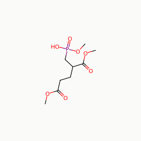 COC(=O)CCC(CP(=O)(O)OC)C(=O)OC